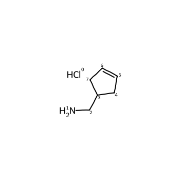 Cl.NCC1CC=CC1